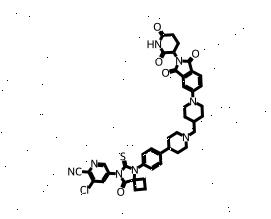 N#Cc1ncc(N2C(=O)C3(CCC3)N(c3ccc(C4CCN(CC5CCN(c6ccc7c(c6)C(=O)N(C6CCC(=O)NC6=O)C7=O)CC5)CC4)cc3)C2=S)cc1Cl